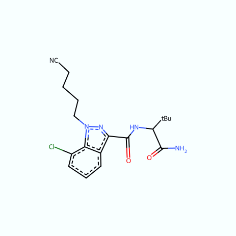 CC(C)(C)C(NC(=O)c1nn(CCCCC#N)c2c(Cl)cccc12)C(N)=O